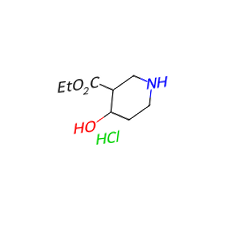 CCOC(=O)C1CNCCC1O.Cl